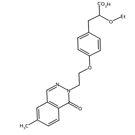 CCOC(Cc1ccc(OCCn2ncc3cc(C)ccc3c2=O)cc1)C(=O)O